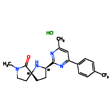 Cc1cc(-c2ccc(C(F)(F)F)cc2)nc([C@H]2CC[C@]3(CCN(C)C3=O)N2)n1.Cl